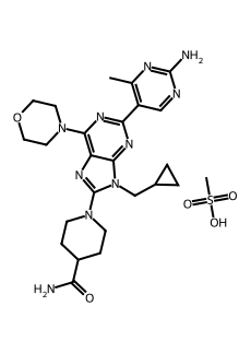 CS(=O)(=O)O.Cc1nc(N)ncc1-c1nc(N2CCOCC2)c2nc(N3CCC(C(N)=O)CC3)n(CC3CC3)c2n1